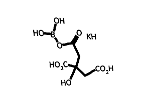 O=C(O)CC(O)(CC(=O)OB(O)O)C(=O)O.[KH]